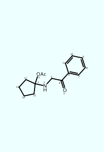 CC(=O)OC1(NCC(=O)c2ccccc2)CCCC1